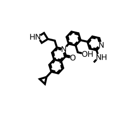 CNc1cc(-c2cccc(-n3c(CC4CNC4)cc4cc(C5CC5)ccc4c3=O)c2CO)ccn1